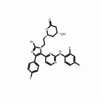 CC(C)c1nc(-c2ccc(F)cc2)c(-c2ccnc(Nc3ccc(F)cc3F)n2)n1CC[C@@H]1C[C@@H](O)CC(=O)O1